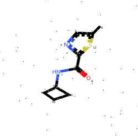 Cc1cnc(C(=O)NC2CCC2)s1